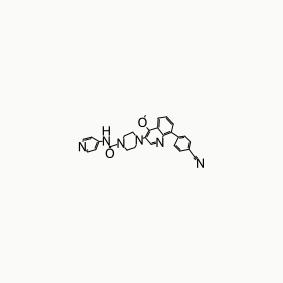 COc1c(N2CCN(C(=O)Nc3ccncc3)CC2)cnc2c(-c3ccc(C#N)cc3)cccc12